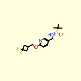 C[C@@H](N[S+]([O-])C(C)(C)C)c1ccc(OCC2CC(F)(F)C2)nc1